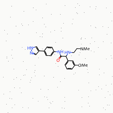 CNCCNC(C(=O)Nc1ccc(-c2cn[nH]c2)cc1)c1cccc(OC)c1